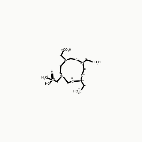 CP(=O)(O)CN1CCN(CC(=O)O)CCN(CC(=O)O)CCN(CC(=O)O)CC1